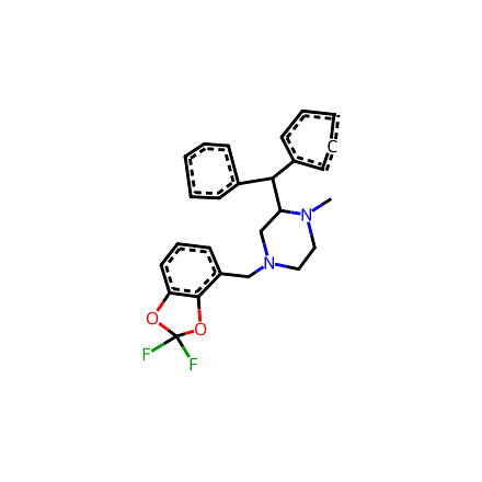 CN1CCN(Cc2cccc3c2OC(F)(F)O3)CC1C(c1ccccc1)c1ccccc1